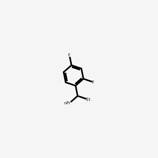 CCCC(CC)c1ccc(F)cc1F